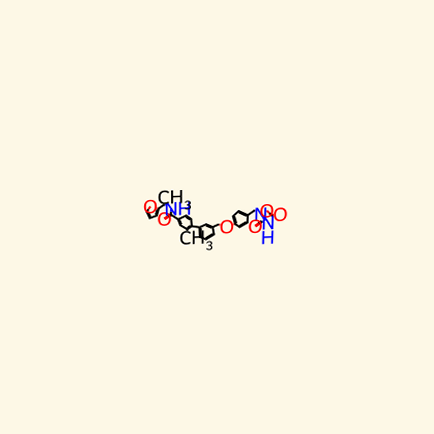 Cc1cc(C(=O)NC(C)c2ccco2)ccc1-c1cccc(COc2ccc(Cn3oc(=O)[nH]c3=O)cc2)c1